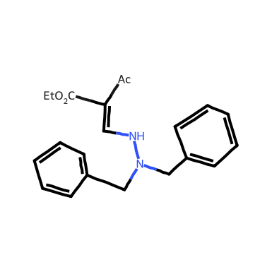 CCOC(=O)C(=CNN(Cc1ccccc1)Cc1ccccc1)C(C)=O